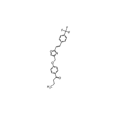 CCCC(=O)c1ccc(OCc2coc(C=Cc3ccc(C(F)(F)F)cc3)n2)cc1